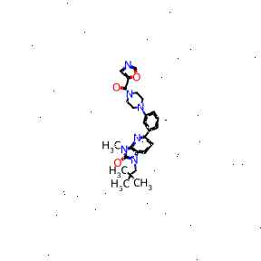 Cn1c(=O)n(CC(C)(C)C)c2ccc(-c3cccc(N4CCN(C(=O)c5cnco5)CC4)c3)nc21